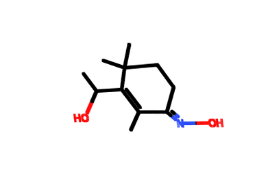 CC1=C(C(C)O)C(C)(C)CCC1=NO